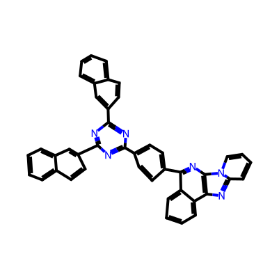 c1ccc2cc(-c3nc(-c4ccc(-c5nc6c(nc7ccccn76)c6ccccc56)cc4)nc(-c4ccc5ccccc5c4)n3)ccc2c1